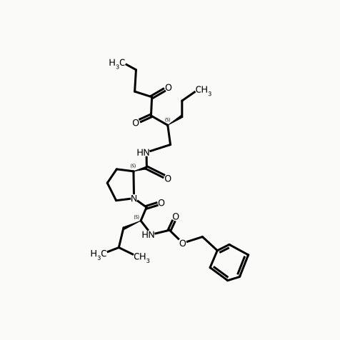 CCCC(=O)C(=O)[C@@H](CCC)CNC(=O)[C@@H]1CCCN1C(=O)[C@H](CC(C)C)NC(=O)OCc1ccccc1